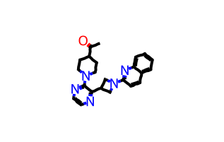 CC(=O)C1CCN(c2nccnc2C2CN(c3ccc4ccccc4n3)C2)CC1